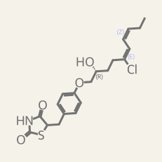 CC/C=C\C=C(\Cl)CC[C@@H](O)COc1ccc(CC2SC(=O)NC2=O)cc1